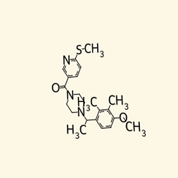 COc1ccc(C(C)N2CCN(C(=O)c3ccc(SC)nc3)CC2)c(C)c1C